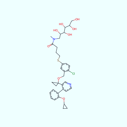 CN(CC(O)C(O)C(O)C(O)CO)C(=O)CCCSc1ccc(Cl)c(COC2(c3cnccc3-c3ccccc3OC3CC3)CC2)c1